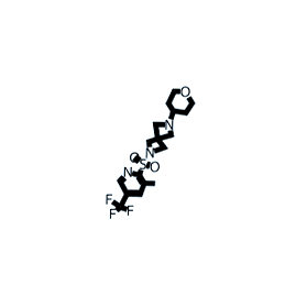 Cc1cc(C(F)(F)F)cnc1S(=O)(=O)N1CC2(CN(C3CCOCC3)C2)C1